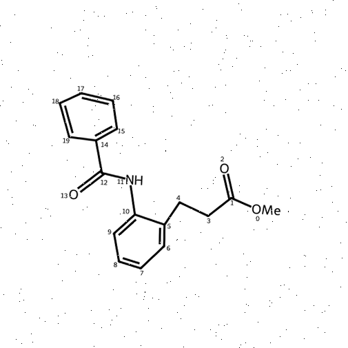 COC(=O)CCc1ccccc1NC(=O)c1ccccc1